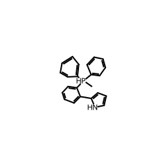 C[PH](c1ccccc1)(c1ccccc1)c1ccccc1-c1ccc[nH]1